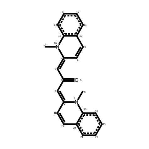 CN1C(=CC(=O)C=C2C=Cc3ccccc3N2C)C=Cc2ccccc21